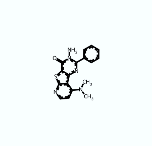 CN(C)c1ccnc2sc3c(=O)n(N)c(-c4ccccc4)nc3c12